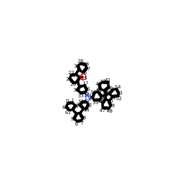 c1ccc(-c2ccccc2-c2ccc(N(c3ccc(-c4cccc5c4oc4ccccc45)cc3)c3ccc(C4(c5ccccc5)c5ccccc5-c5ccccc54)cc3)cc2)cc1